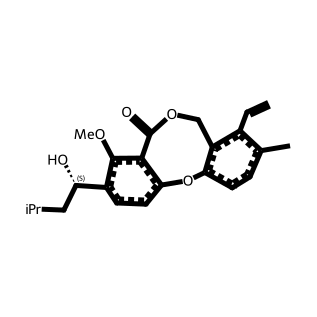 C=Cc1c(C)c[c]c2c1COC(=O)c1c(ccc([C@@H](O)CC(C)C)c1OC)O2